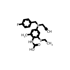 C#CCN(Cc1ccc(F)cc1)c1cc(C)c(NC(=O)O)c(SCC)c1